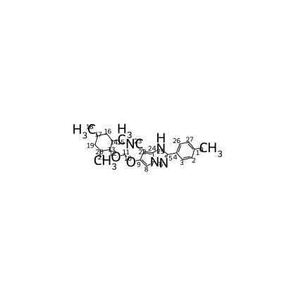 Cc1ccc(-c2nn3cc(OCOC4C(C)CC(C)CC4C)c(C#N)c3[nH]2)cc1